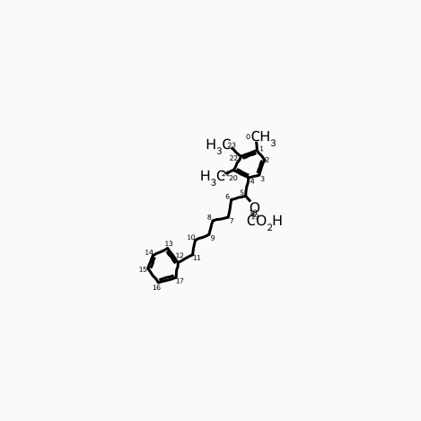 Cc1ccc(C(CCCCCCc2ccccc2)OC(=O)O)c(C)c1C